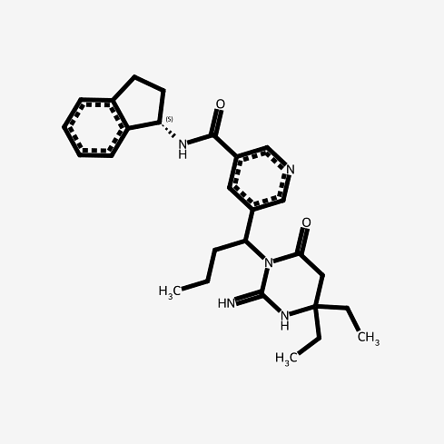 CCCC(c1cncc(C(=O)N[C@H]2CCc3ccccc32)c1)N1C(=N)NC(CC)(CC)CC1=O